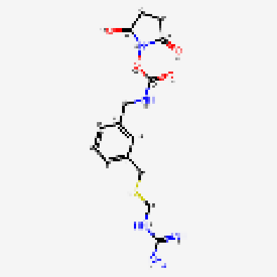 N=C(N)NCSCc1cccc(CNC(=O)ON2C(=O)CCC2=O)c1